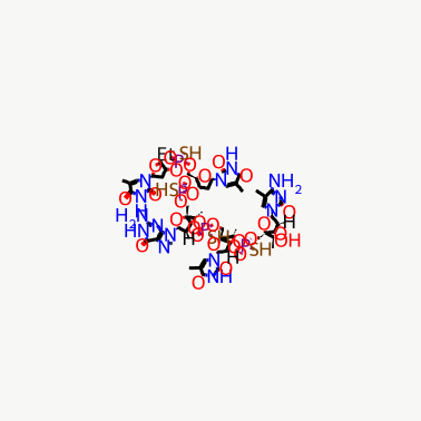 CC[C@H]1O[C@@H](n2cc(C)c(=O)[nH]c2=O)CC1OP(=O)(S)OC[C@H]1O[C@@H](n2cc(C)c(=O)[nH]c2=O)CC1OP(=O)(S)OC[C@@]12O[C@@H](n3cnc4c(=O)[nH]c(N)nc43)[C@@H](O[C@H]1C)C2OP(=O)(S)OC[C@@]12O[C@@H](n3cc(C)c(=O)[nH]c3=O)[C@@H](O[C@H]1C)C2OP(=O)(S)OC[C@@]12O[C@@H](n3cc(C)c(N)nc3=O)[C@@H](O[C@H]1C)C2O